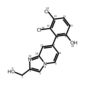 OCc1cn2ccc(-c3c(O)ccc(Cl)c3Cl)cc2n1